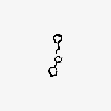 c1ccc(CCC2=NOC(c3ccccc3)C2)cc1